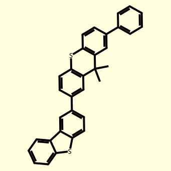 CC1(C)c2cc(-c3ccccc3)ccc2Sc2ccc(-c3ccc4sc5ccccc5c4c3)cc21